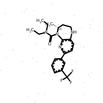 CCN(CC)C(=O)N1c2nc(-c3cccc(C(F)(F)F)c3)ccc2NCC[C@H]1C